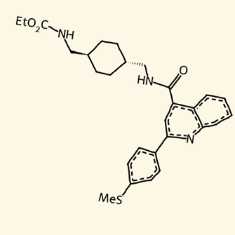 CCOC(=O)NC[C@H]1CC[C@H](CNC(=O)c2cc(-c3ccc(SC)cc3)nc3ccccc23)CC1